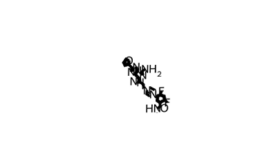 CNC(=O)c1cc(N2CCN(CCn3cnc4c3nc(N)n3nc(-c5ccco5)nc43)CC2)c(F)cc1F